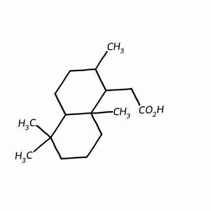 CC1CCC2C(C)(C)CCCC2(C)C1CC(=O)O